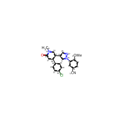 COc1ccc(C#N)cc1-n1cc(-c2cn(C)c(=O)cc2-c2ccc(Cl)cc2)cn1